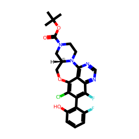 CC(C)(C)OC(=O)N1CCN2c3ncnc4c(F)c(-c5c(O)cccc5F)c(Cl)c(c34)OC[C@@H]2C1